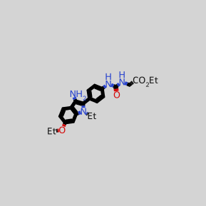 CCOC(=O)CNC(=O)Nc1ccc(-c2c(N)c3ccc(OCC)cc3n2CC)cc1